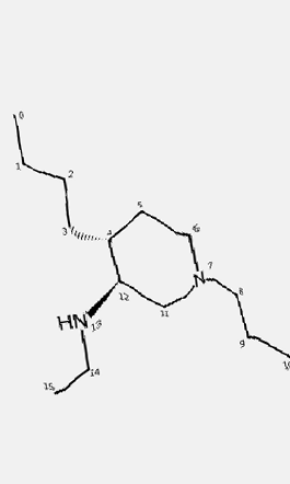 CCCC[C@@H]1CCN(CCC)C[C@H]1NCC